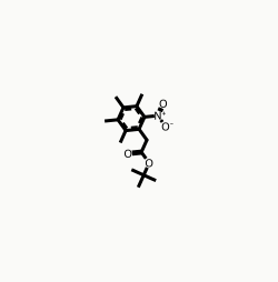 Cc1c(C)c(C)c([N+](=O)[O-])c(CC(=O)OC(C)(C)C)c1C